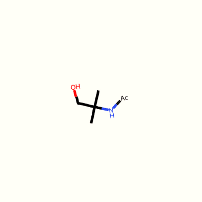 [CH2]C(=O)NC(C)(C)CO